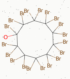 [O]C1(Br)C(Br)(Br)C(Br)(Br)C(Br)(Br)C(Br)(Br)C(Br)(Br)C(Br)(Br)C(Br)(Br)C(Br)(Br)C1(Br)Br